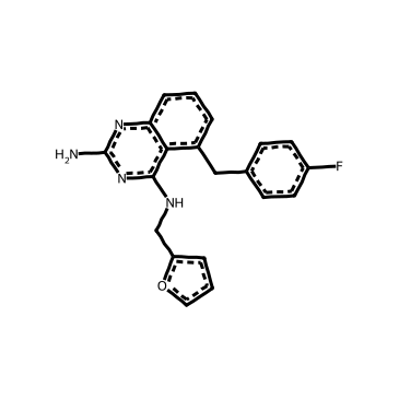 Nc1nc(NCc2ccco2)c2c(Cc3ccc(F)cc3)cccc2n1